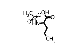 CCCC(NS(C)(=O)=O)C(=O)O